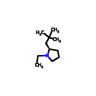 CCN1CCC[C@@H]1CC(C)(C)C